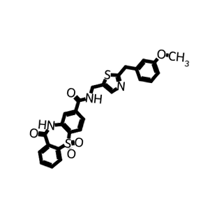 COc1cccc(Cc2ncc(CNC(=O)c3ccc4c(c3)NC(=O)c3ccccc3S4(=O)=O)s2)c1